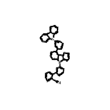 N#Cc1ccccc1-c1cccc(-n2c3ccccc3c3c(-c4cccc(-n5c6ccccc6c6ccccc65)c4)cccc32)c1